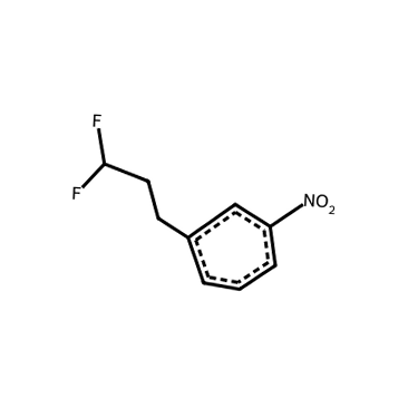 O=[N+]([O-])c1cccc(CCC(F)F)c1